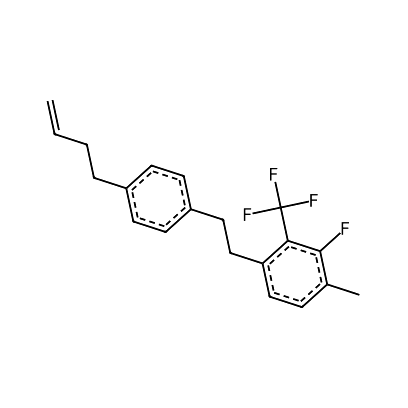 C=CCCc1ccc(CCc2ccc(C)c(F)c2C(F)(F)F)cc1